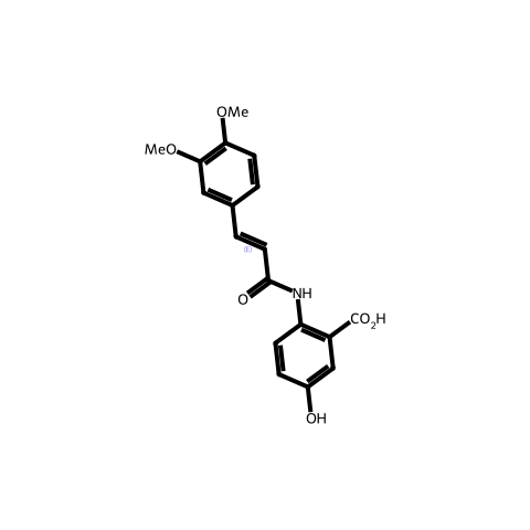 COc1ccc(/C=C/C(=O)Nc2ccc(O)cc2C(=O)O)cc1OC